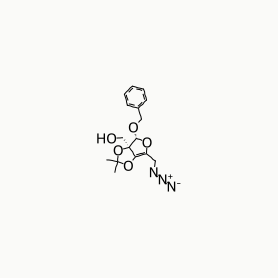 CC1(C)OC2=C(CN=[N+]=[N-])O[C@@H](OCc3ccccc3)[C@]2(CO)O1